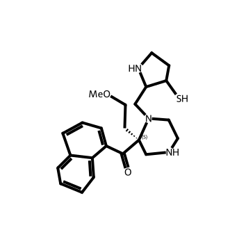 COCC[C@@]1(C(=O)c2cccc3ccccc23)CNCCN1CC1NCCC1S